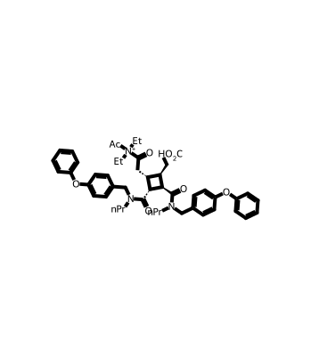 CCCN(Cc1ccc(Oc2ccccc2)cc1)C(=O)[C@@H]1[C@H](CC(=O)O)[C@@H](CC(=O)[N+](CC)(CC)C(C)=O)[C@H]1C(=O)N(CCC)Cc1ccc(Oc2ccccc2)cc1